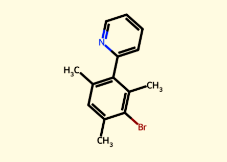 Cc1cc(C)c(-c2ccccn2)c(C)c1Br